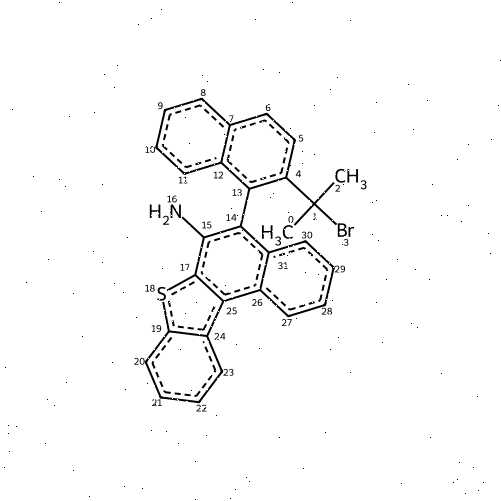 CC(C)(Br)c1ccc2ccccc2c1-c1c(N)c2sc3ccccc3c2c2ccccc12